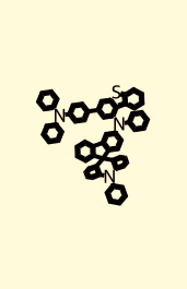 c1ccc(N(c2ccccc2)c2ccc(-c3cc(N(c4ccccc4)c4ccc5c(c4)-c4ccccc4C54c5ccccc5N(c5ccccc5)c5ccccc54)c4c(c3)sc3ccccc34)cc2)cc1